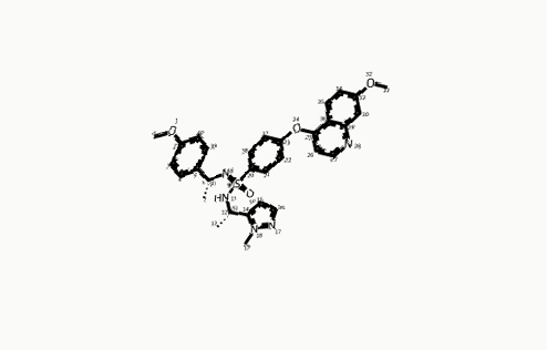 COc1ccc([C@@H](C)N=[S@](=O)(N[C@@H](C)c2ccnn2C)c2ccc(Oc3ccnc4cc(OC)ccc34)cc2)cc1